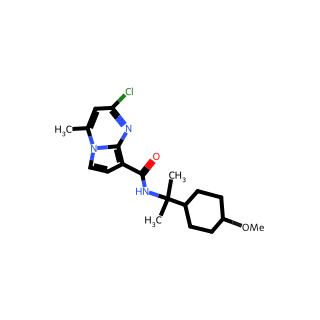 COC1CCC(C(C)(C)NC(=O)c2ccn3c(C)cc(Cl)nc23)CC1